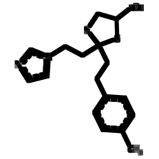 CCCCC1CSC(CCc2ccc(C)cc2)(CCn2ccnc2)S1